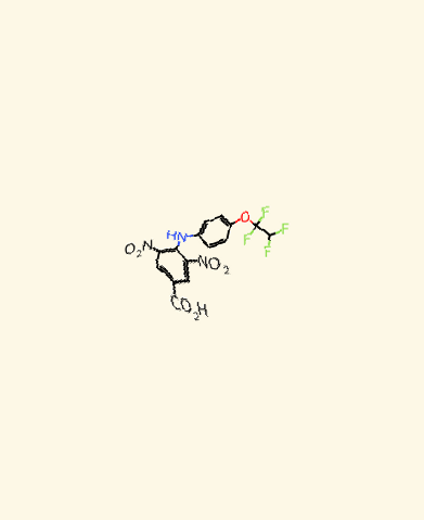 O=C(O)c1cc([N+](=O)[O-])c(Nc2ccc(OC(F)(F)C(F)F)cc2)c([N+](=O)[O-])c1